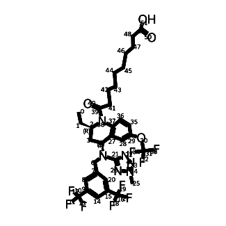 CC[C@@H]1C[C@H](N(Cc2cc(C(F)(F)F)cc(C(F)(F)F)c2)c2nnn(C)n2)c2cc(OC(F)(F)F)ccc2N1C(=O)CCCCCCCCC(=O)O